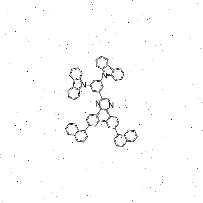 c1ccc2c(-c3ccc4c(c3)c3cc(-c5cccc6ccccc56)ccc3c3nc(-c5cc(-n6c7ccccc7c7ccccc76)cc(-n6c7ccccc7c7ccccc76)c5)cnc43)cccc2c1